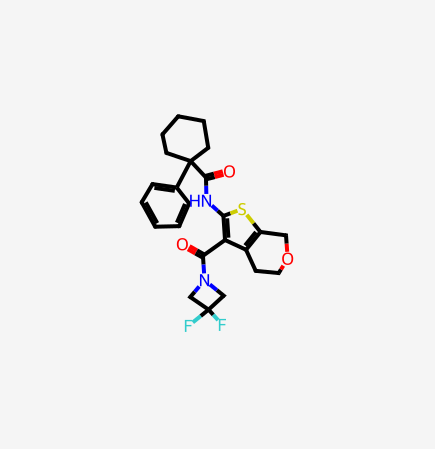 O=C(c1c(NC(=O)C2(c3ccccc3)CCCCC2)sc2c1CCOC2)N1CC(F)(F)C1